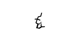 CCCC(C)(C)Cc1ccc(C)s1